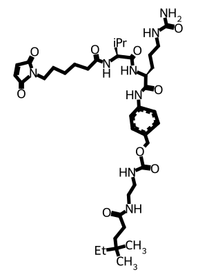 CCC(C)(C)CCC(=O)NCCNC(=O)OCc1ccc(NC(=O)[C@H](CCCNC(N)=O)NC(=O)[C@@H](NC(=O)CCCCCN2C(=O)C=CC2=O)C(C)C)cc1